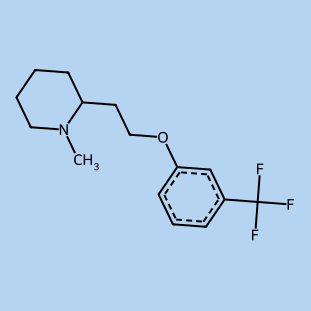 CN1CCCCC1CCOc1cccc(C(F)(F)F)c1